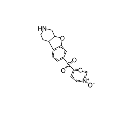 O=S(=O)(c1cc[n+]([O-])cc1)c1ccc2c(c1)OC1CNCCC21